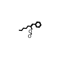 CCCCC/C(=C/c1ccccc1)COC=O